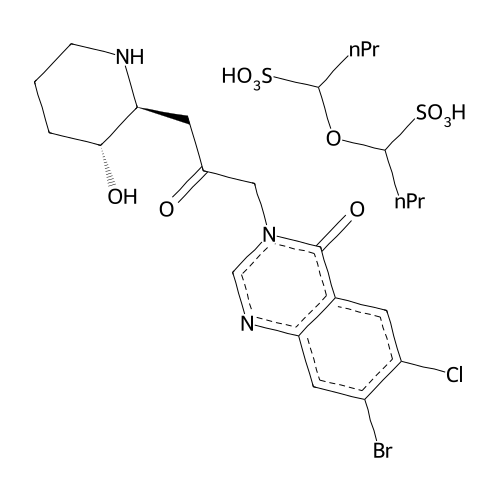 CCCC(OC(CCC)S(=O)(=O)O)S(=O)(=O)O.O=C(C[C@@H]1NCCC[C@H]1O)Cn1cnc2cc(Br)c(Cl)cc2c1=O